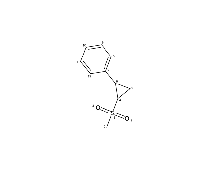 CS(=O)(=O)C1CC1c1ccccc1